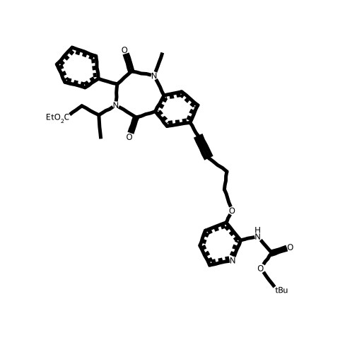 CCOC(=O)CC(C)N1C(=O)c2cc(C#CCCOc3cccnc3NC(=O)OC(C)(C)C)ccc2N(C)C(=O)C1c1ccccc1